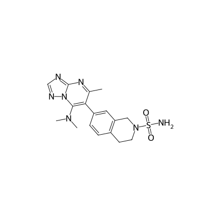 Cc1nc2ncnn2c(N(C)C)c1-c1ccc2c(c1)CN(S(N)(=O)=O)CC2